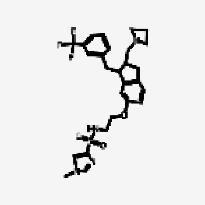 Cn1cnc(S(=O)(=O)NCCOc2ccc3c(c2)C(Cc2cccc(C(F)(F)F)c2)C(CN2CCC2)C3)c1